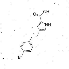 O=C(O)c1cc(CCc2ccc(Br)cc2)c[nH]1